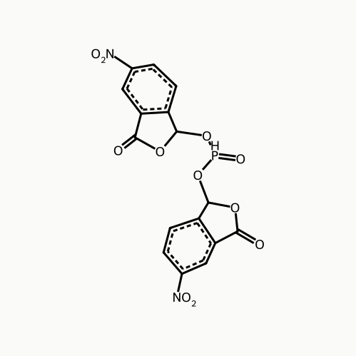 O=C1OC(O[PH](=O)OC2OC(=O)c3cc([N+](=O)[O-])ccc32)c2ccc([N+](=O)[O-])cc21